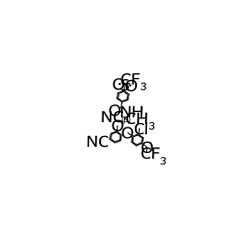 C[C@](C#N)(COc1cc(C#N)ccc1Oc1ccc(OC(F)(F)F)cc1Cl)NC(=O)c1ccc(S(=O)(=O)C(F)(F)F)cc1